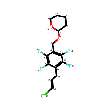 Fc1c(F)c(COC2CCCCO2)c(F)c(F)c1CC=CCl